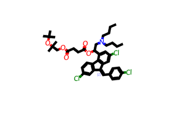 CCCCN(CCCC)CC(OC(=O)CCC(=O)OCC(C)(C)OC(C)(C)C)c1cc(Cl)cc2c1-c1ccc(Cl)cc1/C2=C/c1ccc(Cl)cc1